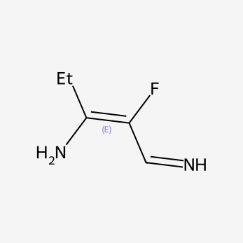 CC/C(N)=C(\F)C=N